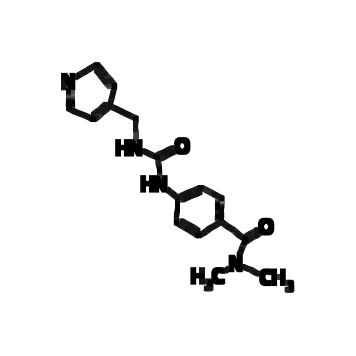 CN(C)C(=O)c1ccc(NC(=O)NCc2ccncc2)cc1